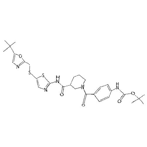 CC(C)(C)OC(=O)Nc1ccc(C(=O)N2CCCC(C(=O)Nc3ncc(SCc4ncc(C(C)(C)C)o4)s3)C2)cc1